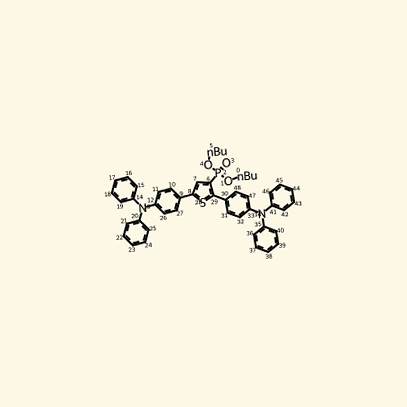 CCCCOP(=O)(OCCCC)c1cc(-c2ccc(N(c3ccccc3)c3ccccc3)cc2)sc1-c1ccc(N(c2ccccc2)c2ccccc2)cc1